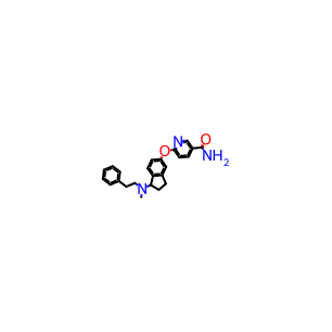 CN(CCc1ccccc1)C1CCc2cc(Oc3ccc(C(N)=O)cn3)ccc21